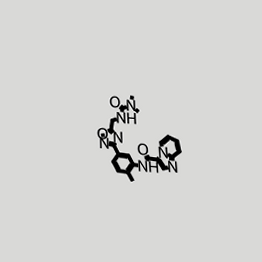 Cc1ccc(-c2noc(CNC(=O)N(C)C)n2)cc1NC(=O)c1cnc2ccccn12